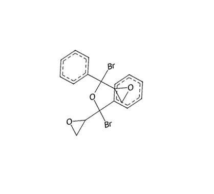 BrC(OC(Br)(c1ccccc1)C1CO1)(c1ccccc1)C1CO1